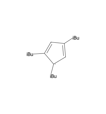 CCC(C)[C]1C=C(C(C)CC)C=C1C(C)CC